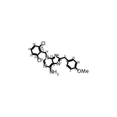 COc1ccc(Cc2nc3c(N)ncn(Cc4c(Cl)cccc4Cl)c-3n2)cc1